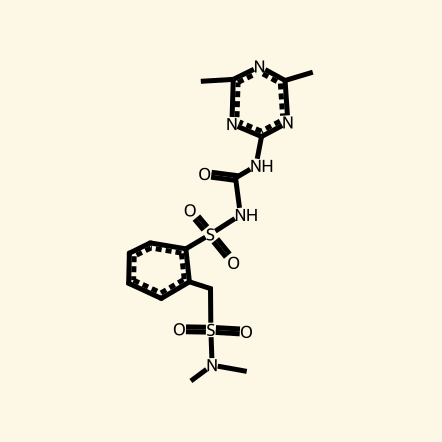 Cc1nc(C)nc(NC(=O)NS(=O)(=O)c2ccccc2CS(=O)(=O)N(C)C)n1